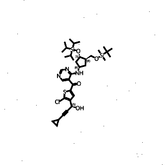 CC(C)[Si](O[C@H]1C[C@H](Nc2ncncc2C(=O)c2cc([C@@H](O)C#CC3CC3)c(Cl)s2)C[C@@H]1CO[Si](C)(C)C(C)(C)C)(C(C)C)C(C)C